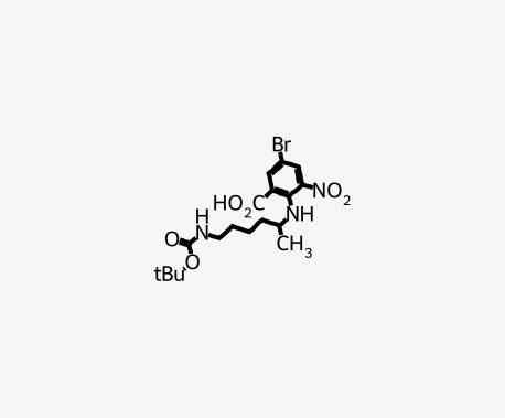 CC(CCCCNC(=O)OC(C)(C)C)Nc1c(C(=O)O)cc(Br)cc1[N+](=O)[O-]